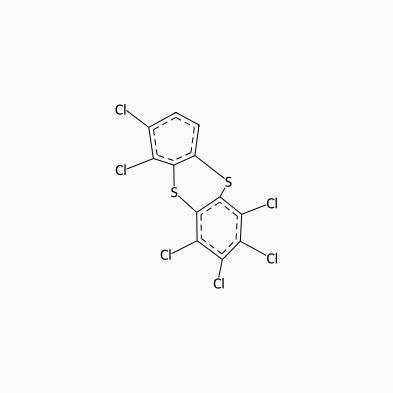 Clc1ccc2c(c1Cl)Sc1c(Cl)c(Cl)c(Cl)c(Cl)c1S2